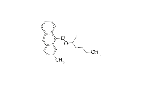 CCCCC(I)OOc1c2ccccc2cc2ccc(C)cc12